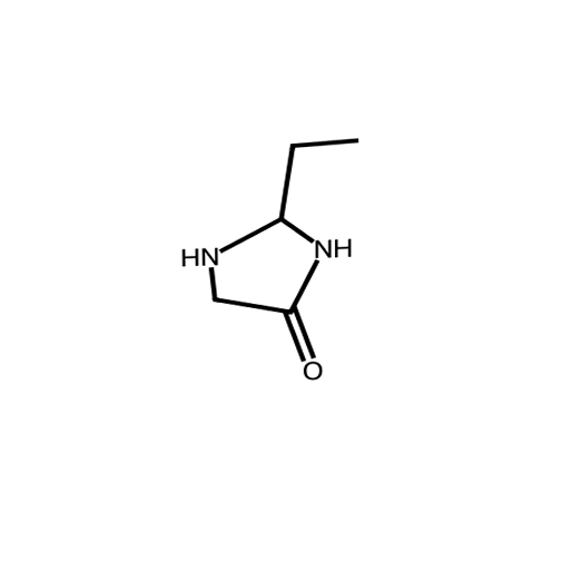 CCC1NCC(=O)N1